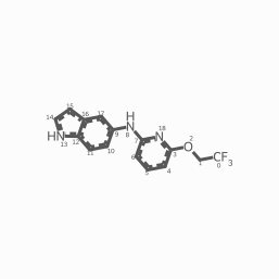 FC(F)(F)COc1cccc(Nc2ccc3[nH]ccc3c2)n1